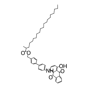 CCCCCCCCCCCCCCCCCCC(C)C(=O)OCc1ccc(-c2ccc(Nc3ccc(O)c4c3C(=O)c3ccccc3C4=O)cc2)cc1